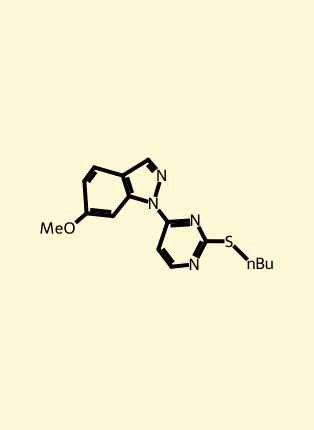 CCCCSc1nccc(-n2ncc3ccc(OC)cc32)n1